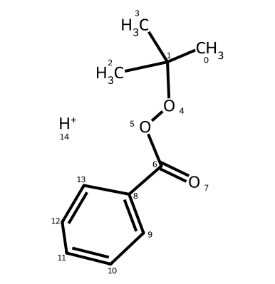 CC(C)(C)OOC(=O)c1ccccc1.[H+]